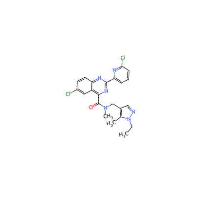 CCn1ncc(CN(C)C(=O)c2nc(-c3cccc(Cl)n3)nc3ccc(Cl)cc23)c1C